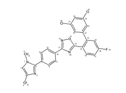 Cn1cc(C(F)(F)F)nc1-c1ccc(-c2noc(-c3ccc(F)cc3-c3cc(Cl)cc(Cl)c3)n2)cc1